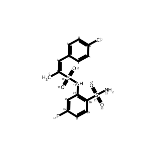 C/C(=C/c1ccc(Cl)cc1)S(=O)(=O)Nc1cc(F)ccc1S(N)(=O)=O